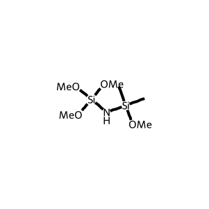 CO[Si](C)(C)N[Si](OC)(OC)OC